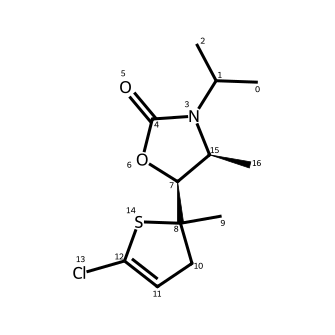 CC(C)N1C(=O)O[C@H](C2(C)CC=C(Cl)S2)[C@@H]1C